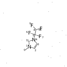 CN1C=CN(C(F)(F)C(F)F)C1